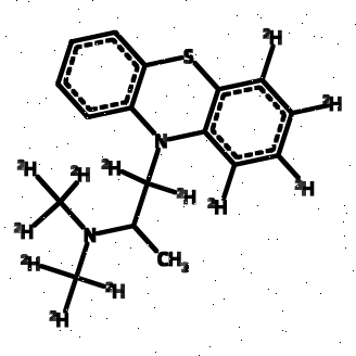 [2H]c1c([2H])c([2H])c2c(c1[2H])Sc1ccccc1N2C([2H])([2H])C(C)N(C([2H])([2H])[2H])C([2H])([2H])[2H]